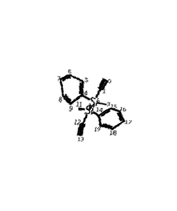 C#C[Si](C)(c1ccccc1)[Si](C)(C#C)c1ccccc1